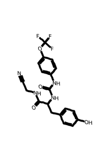 N#CCNC(=O)C(Cc1ccc(O)cc1)NC(=O)Nc1ccc(OC(F)(F)F)cc1